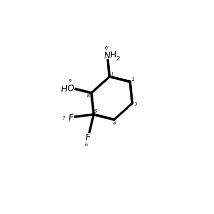 NC1CCCC(F)(F)C1O